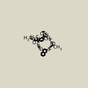 CCOC(=O)c1c2c3ccc(Cl)c(c3n1C)-c1c(nn3c1OCC3)CSCc1nc(c(C)o1)CSc1cc(c3ccccc3c1)OCCC2